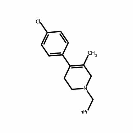 C[C](C)CN1CCC(c2ccc(Cl)cc2)=C(C)C1